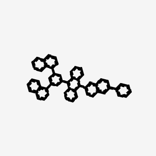 c1ccc(-c2ccc3cc(-c4c5ccccc5c(-c5cc(-c6cccc7ccccc67)cc(-c6cccc7ccccc67)c5)c5ccccc45)ccc3c2)cc1